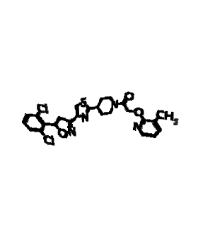 Cc1cccnc1OCC(=O)N1CCC(c2nc(C3=NOC(c4c(Cl)cccc4Cl)C3)cs2)CC1